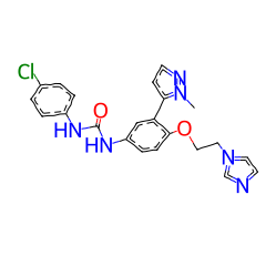 Cn1nccc1-c1cc(NC(=O)Nc2ccc(Cl)cc2)ccc1OCCn1ccnc1